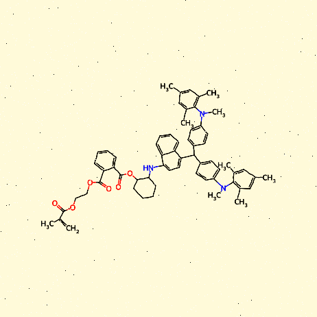 C=C(C)C(=O)OCCOC(=O)c1ccccc1C(=O)OC1CCCCC1Nc1ccc(C(c2ccc(N(C)c3c(C)cc(C)cc3C)cc2)c2ccc(N(C)c3c(C)cc(C)cc3C)cc2)c2ccccc12